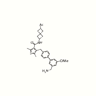 COc1cc(CN)cc(-c2ccc(Cc3c(C)sc(C)c3C(=O)NC3CC4(C3)CC(C(C)=O)C4)cc2)c1